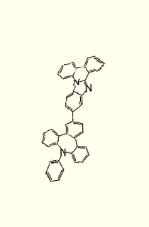 c1ccc(N2c3ccccc3-c3ccc(-c4ccc5c(c4)nc4c6ccccc6c6ccccc6n54)cc3-c3ccccc32)cc1